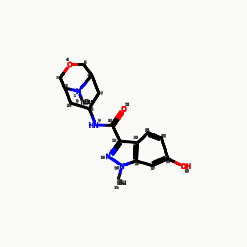 CCCCN1C2COCC1CC(NC(=O)c1nn(C(C)CC)c3cc(O)ccc13)C2